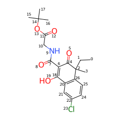 CCC1(C)C(=O)C(C(=O)NCC(=O)OC(C)(C)C)=C(O)c2cc(Cl)ccc21